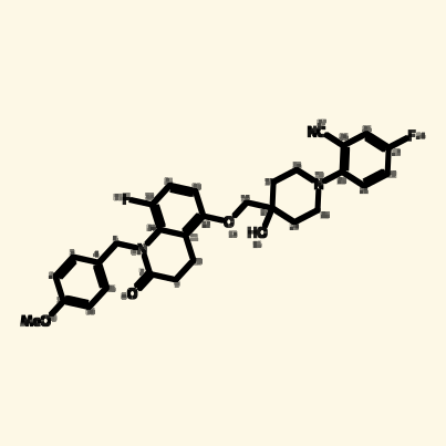 COc1ccc(CN2C(=O)CCc3c(OCC4(O)CCN(c5ccc(F)cc5C#N)CC4)ccc(F)c32)cc1